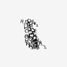 CC(C)(C)OC(=O)Nc1cccc(-c2cc(=O)oc3cc(O[C@@](C)(C(=O)O)C(C)(C)C)ccc23)c1Cl